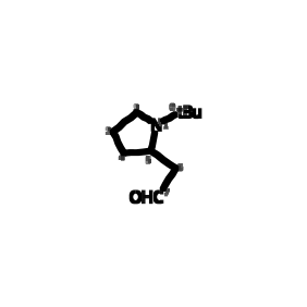 CC(C)(C)N1CCCC1CC=O